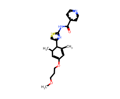 COCCCOC1=CC(C)C(c2csc(NC(=O)c3ccncc3)n2)C(C)=C1